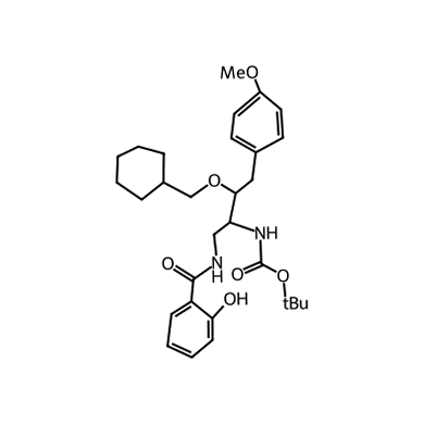 COc1ccc(CC(OCC2CCCCC2)C(CNC(=O)c2ccccc2O)NC(=O)OC(C)(C)C)cc1